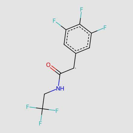 O=C([CH]c1cc(F)c(F)c(F)c1)NCC(F)(F)F